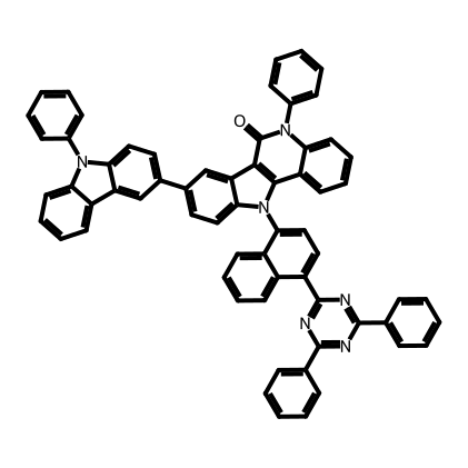 O=c1c2c3cc(-c4ccc5c(c4)c4ccccc4n5-c4ccccc4)ccc3n(-c3ccc(-c4nc(-c5ccccc5)nc(-c5ccccc5)n4)c4ccccc34)c2c2ccccc2n1-c1ccccc1